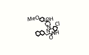 COc1ccc(C2(O)CCN(C3=NC(Cc4ccc5ccccc5c4)C(=O)Nc4ccc(Cl)cc43)CC2)cc1